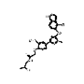 COc1cc(-c2nc(Nc3ccc4[nH]ncc4c3Cl)n(C)n2)ccc1OCC(=O)NCC(C)O